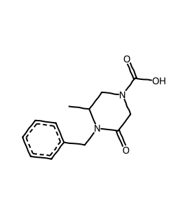 CC1CN(C(=O)O)CC(=O)N1Cc1ccccc1